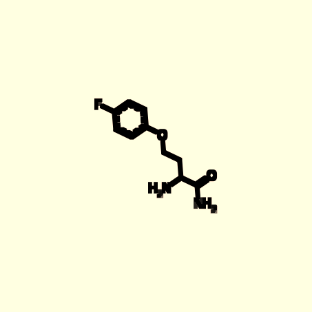 NC(=O)C(N)CCOc1ccc(F)cc1